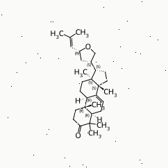 CC(C)=C[C@H]1C[C@@H]([C@@H]2CC[C@]3(C)C4=CC[C@H]5C(C)(C)C(=O)CC[C@]5(C)[C@H]4CC[C@@]23C)CO1